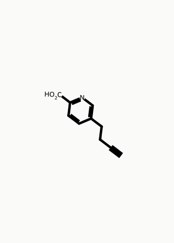 C#CCCc1ccc(C(=O)O)nc1